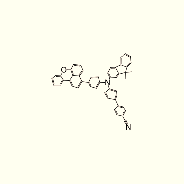 CC1(C)c2ccccc2-c2ccc(N(c3ccc(-c4ccc(C#N)cc4)cc3)c3ccc(-c4ccc5c6c(cccc46)Oc4ccccc4-5)cc3)cc21